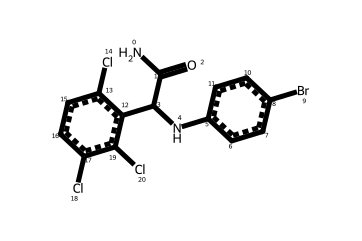 NC(=O)C(Nc1ccc(Br)cc1)c1c(Cl)ccc(Cl)c1Cl